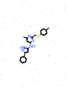 Cc1ccc(SCc2nc(C)cc(Nc3cc(-c4ccccc4)n[nH]3)n2)cc1